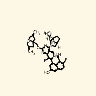 [2H]C([2H])([2H])[C@@]12CC[C@@H](CN(c3nc(OCC45CC(=C)CN4CC(=C)C5)nc4c(F)c(-c5cc(O)cc6ccc(F)c(C#C)c56)ncc34)C1)N2